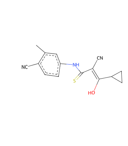 Cc1cc(NC(=S)/C(C#N)=C(\O)C2CC2)ccc1C#N